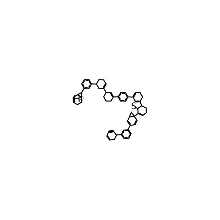 C1#CC(c2cccc(C3=CC4CC4(C4=CCCC5C6=C(SC45)C(c4ccc(C5=CC(C7=CCCC(c8cccc(C9C%10C=CCC[C@@H]%109)c8)C7)CCC5)cc4)=CCC6)C=C3)c2)CC=C1